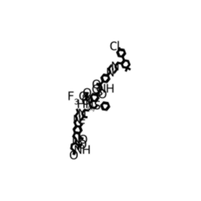 CC1CN(Cc2cc3c(cc2F)C(=O)N(C2CCC(=O)NC2=O)C3)CC(C)N1CC[C@H](CSc1ccccc1)Nc1ccc(S(=O)(=O)NC(=O)c2ccc(N3CCN(CC4=C(c5ccc(Cl)cc5)CCC(C)(C)C4)CC3)cc2)cc1S(=O)(=O)C(F)(F)F